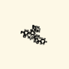 CC(O)(CBr)c1cc(C(C)(C)NCC(=O)c2ccccc2)cc(-c2ccc(F)c(Cl)c2)n1